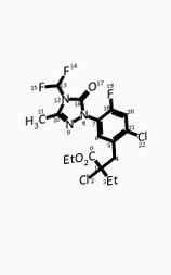 CCOC(=O)C(Cl)(CC)Cc1cc(-n2nc(C)n(C(F)F)c2=O)c(F)cc1Cl